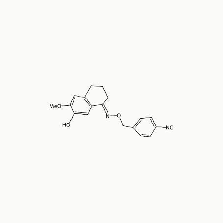 COc1cc2c(cc1O)/C(=N/OCc1ccc(N=O)cc1)CCC2